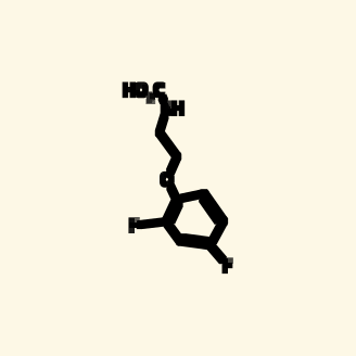 O=C(O)NCCOc1ccc(F)cc1F